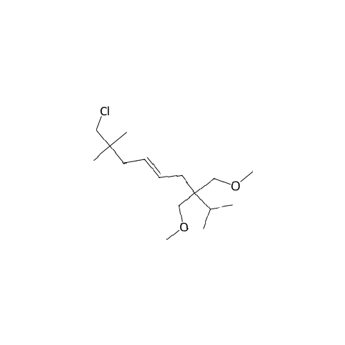 COCC(C/C=C/CC(C)(C)CCl)(COC)C(C)C